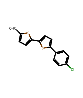 O=Cc1ccc(-c2ccc(-c3ccc(Cl)cc3)s2)s1